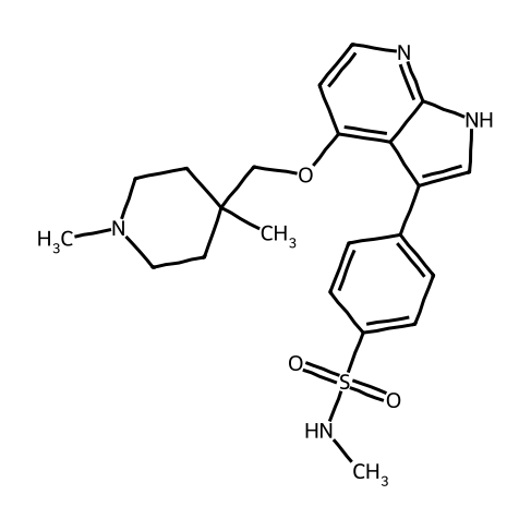 CNS(=O)(=O)c1ccc(-c2c[nH]c3nccc(OCC4(C)CCN(C)CC4)c23)cc1